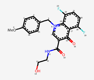 COc1ccc(Cn2cc(C(=O)NCCO)c(=O)c3c(F)ccc(F)c32)cc1